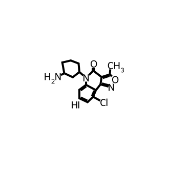 Cc1onc2c1c(=O)n(C1CCCC(N)C1)c1cccc(Cl)c21.I